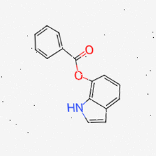 O=C(Oc1cccc2cc[nH]c12)c1ccccc1